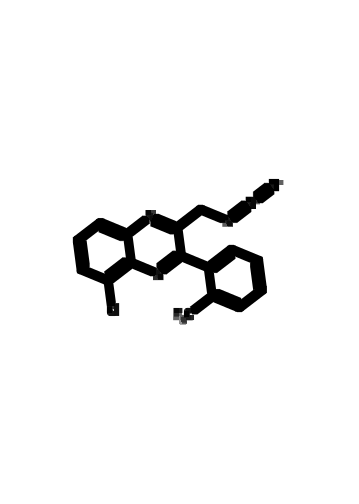 [N-]=[N+]=NCc1nc2cccc(Cl)c2nc1-c1ccccc1C(F)(F)F